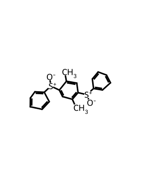 Cc1cc([S+]([O-])c2ccccc2)c(C)cc1[S+]([O-])c1ccccc1